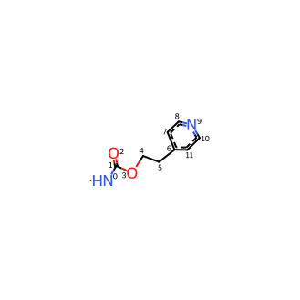 [NH]C(=O)OCCc1ccncc1